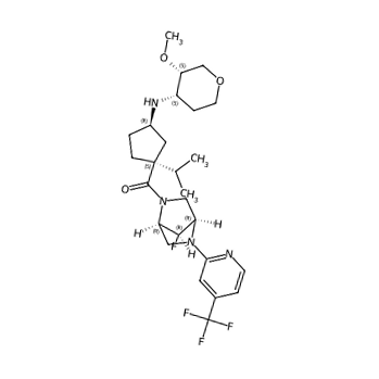 CO[C@@H]1COCC[C@@H]1N[C@@H]1CC[C@@](C(=O)N2C[C@@H]3[C@@H](F)[C@H]2CN3c2cc(C(F)(F)F)ccn2)(C(C)C)C1